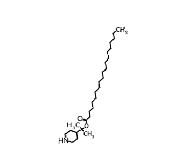 CCCCCCCCCCCCCCCCCCCC(=O)OC(C)(C)C1CCNCC1